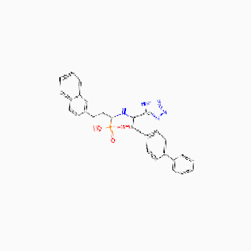 O=P(O)(O)C(CCc1ccc2ccccc2c1)NC(Cc1ccc(-c2ccccc2)cc1)c1nnn[nH]1